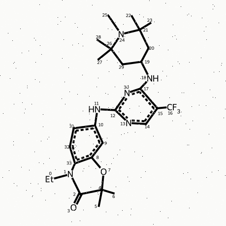 CCN1C(=O)C(C)(C)Oc2cc(Nc3ncc(C(F)(F)F)c(NC4CC(C)(C)N(C)C(C)(C)C4)n3)ccc21